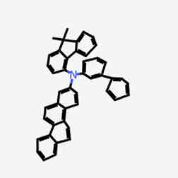 CC1(C)c2ccccc2-c2c(N(c3cccc(-c4ccccc4)c3)c3ccc4c(ccc5c6ccccc6ccc45)c3)cccc21